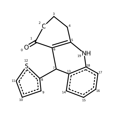 O=C1CCCC2=C1C(c1cccs1)c1ccccc1N2